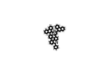 c1ccc(-c2nc3ccc(-c4cc(-c5cc6ccccc6c6ccccc56)nc(-c5cc6ccccc6c6ccccc56)n4)cc3c3c(-c4ccccc4)cccc23)cc1